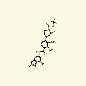 C[C@H]1CN(c2ccc(C(=O)Nc3cc(F)c4nn(C)cc4c3)c(O)c2N)C[C@H](C)N1C(=O)OC(C)(C)C